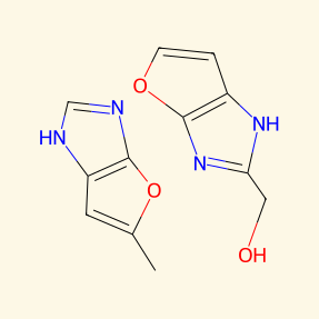 Cc1cc2[nH]cnc2o1.OCc1nc2occc2[nH]1